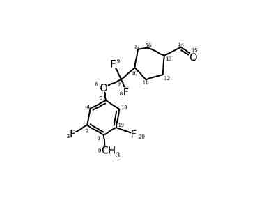 Cc1c(F)cc(OC(F)(F)C2CCC(C=O)CC2)cc1F